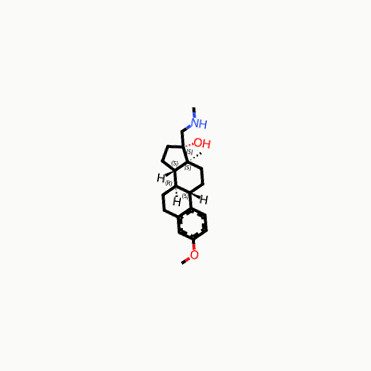 CNC[C@]1(O)CC[C@H]2[C@@H]3CCc4cc(OC)ccc4[C@H]3CC[C@@]21C